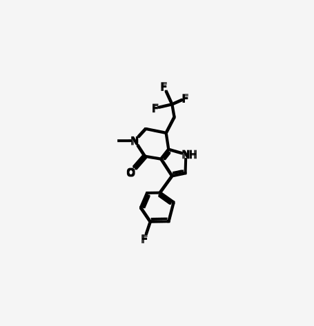 CN1CC(CC(F)(F)F)c2[nH]cc(-c3ccc(F)cc3)c2C1=O